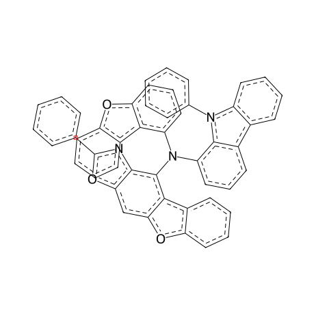 c1ccc(-c2nc3c(N(c4cccc5oc6ccccc6c45)c4cccc5c6ccccc6n(-c6ccccc6)c45)c4c(cc3o2)oc2ccccc24)cc1